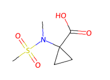 CN(C1(C(=O)O)CC1)S(C)(=O)=O